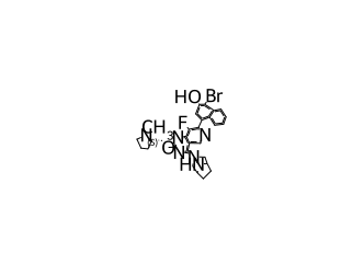 CN1CCC[C@H]1COc1nc(N2CC3CCC(C2)N3)c2cnc(-c3cc(O)c(Br)c4ccccc34)c(F)c2n1